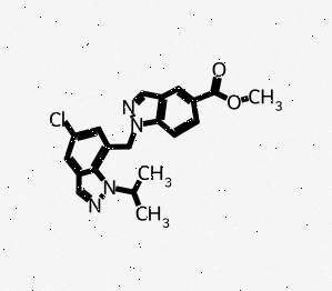 COC(=O)c1ccc2c(cnn2Cc2cc(Cl)cc3cnn(C(C)C)c23)c1